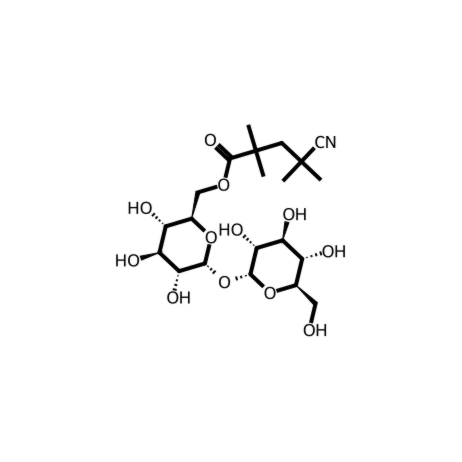 CC(C)(C#N)CC(C)(C)C(=O)OC[C@H]1O[C@H](O[C@H]2O[C@H](CO)[C@@H](O)[C@H](O)[C@H]2O)[C@H](O)[C@@H](O)[C@@H]1O